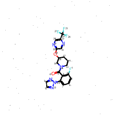 O=C(c1c(F)cccc1-n1nccn1)N1CCCC(Oc2cnc(C(F)(F)F)cn2)C1